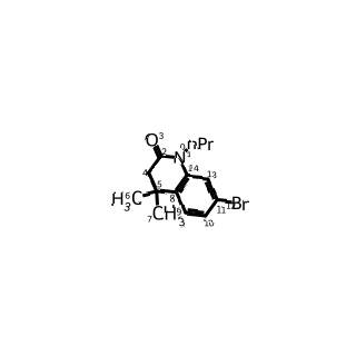 CCCN1C(=O)CC(C)(C)c2ccc(Br)cc21